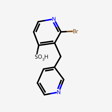 O=S(=O)(O)c1ccnc(Br)c1Cc1cccnc1